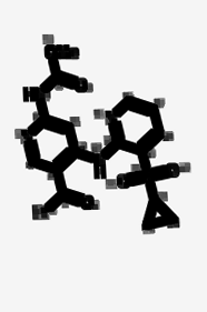 CCC(=O)c1cnc(NC(=O)OC)cc1Nc1ncccc1S(=O)(=O)C1CC1